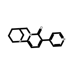 O=c1c(-c2ccncc2)ccc2n1CC1CCCN2C1